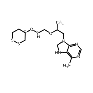 CC(CN1CNc2c(N)ncnc21)OCPO[C@@H]1CCSSC1